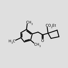 CCOC(=O)C1(C(=O)Cc2c(C)cc(C)cc2C)CCC1